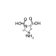 N[C@H]1CC(C(=O)O)N(C(=O)O)C1